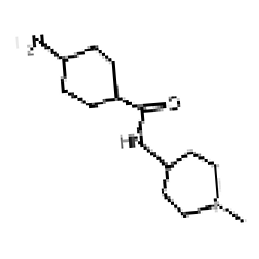 CN1CCC(NC(=O)C2CCC(N)CC2)CC1